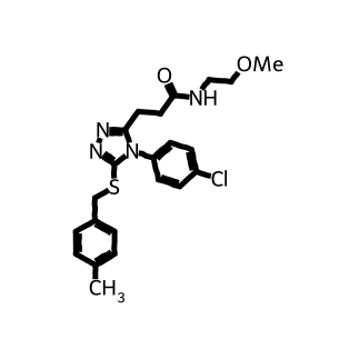 COCCNC(=O)CCc1nnc(SCc2ccc(C)cc2)n1-c1ccc(Cl)cc1